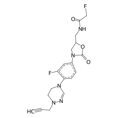 C#CCN1CCN(c2ccc(N3CC(CNC(=O)CF)OC3=O)cc2F)C=N1